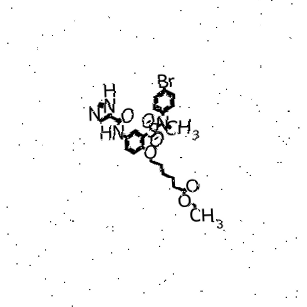 CCOC(=O)CCCCCOc1ccc(NC(=O)c2cnc[nH]2)cc1S(=O)(=O)N(C)c1ccc(Br)cc1